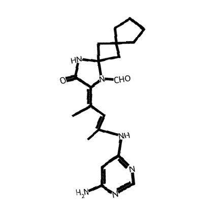 CC(/C=C(\C)Nc1cc(N)ncn1)=C1\C(=O)NC2(CC3(CCCC3)C2)N1C=O